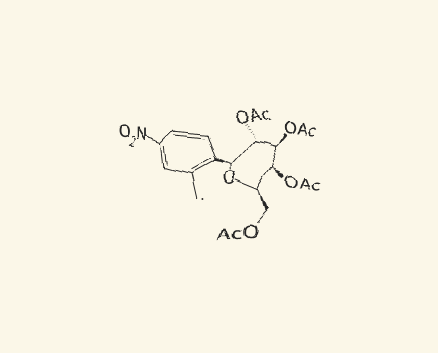 [CH2]c1cc([N+](=O)[O-])ccc1[C@@H]1O[C@H](COC(C)=O)[C@H](OC(C)=O)[C@H](OC(C)=O)[C@H]1OC(C)=O